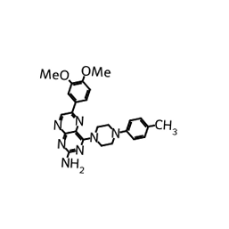 COc1ccc(-c2cnc3nc(N)nc(N4CCN(c5ccc(C)cc5)CC4)c3n2)cc1OC